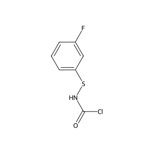 O=C(Cl)NSc1cccc(F)c1